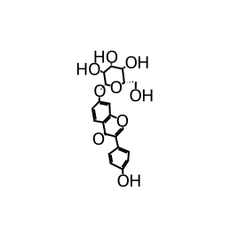 O=c1c(-c2ccc(O)cc2)coc2cc(O[C@H]3O[C@@H](CO)[C@H](O)[C@@H](O)[C@@H]3O)ccc12